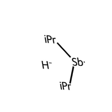 C[CH](C)[Sb][CH](C)C.[H-]